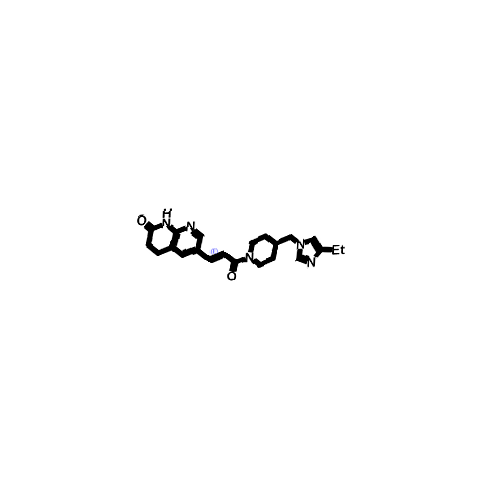 CCc1cn(CC2CCN(C(=O)/C=C/c3cnc4c(c3)CCC(=O)N4)CC2)cn1